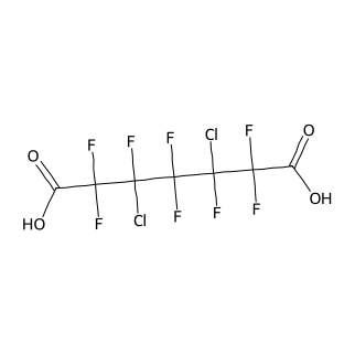 O=C(O)C(F)(F)C(F)(Cl)C(F)(F)C(F)(Cl)C(F)(F)C(=O)O